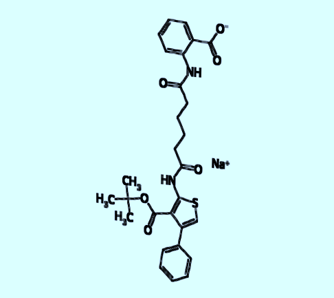 CC(C)(C)OC(=O)c1c(-c2ccccc2)csc1NC(=O)CCCCC(=O)Nc1ccccc1C(=O)[O-].[Na+]